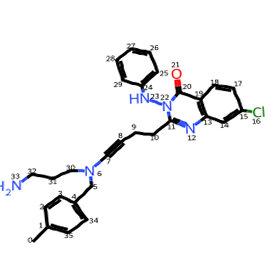 Cc1ccc(CN(C#CCCc2nc3cc(Cl)ccc3c(=O)n2Nc2ccccc2)CCCN)cc1